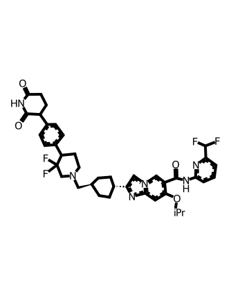 CC(C)Oc1cc2nc([C@H]3CC[C@H](CN4CCC(c5ccc(C6CCC(=O)NC6=O)cc5)C(F)(F)C4)CC3)cn2cc1C(=O)Nc1cccc(C(F)F)n1